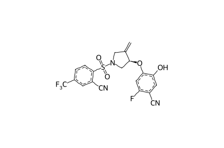 C=C1CN(S(=O)(=O)c2ccc(C(F)(F)F)cc2C#N)C[C@@H]1Oc1cc(F)c(C#N)cc1O